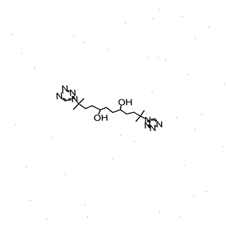 CC(C)(CCC(O)CCC(O)CCC(C)(C)n1cnnn1)n1cnnn1